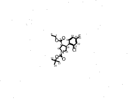 CCOC(=O)[C@@H]1CN(C(=O)OC(C)(C)C)C[C@@H]1c1ccc(F)cc1Cl